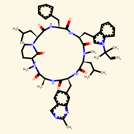 C=CC(C)(C)n1cc(C[C@@H]2NC(=O)[C@H](Cc3ccccc3)NC(=O)[C@H](CC(C)C)N3CCC[C@@H](C3=O)N(C)C(=O)[C@H](C)NC(=O)[C@H](Cc3ccc4cnc(C)nc4c3)NC(=O)[C@H](CC(C)C)N(C)C2=O)c2ccccc21